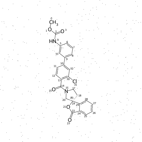 COC(=O)Nc1cccc(-c2ccc(C(=O)N3CC[C@@]4(C3)OC(=O)c3ccccc34)c(Cl)c2)c1